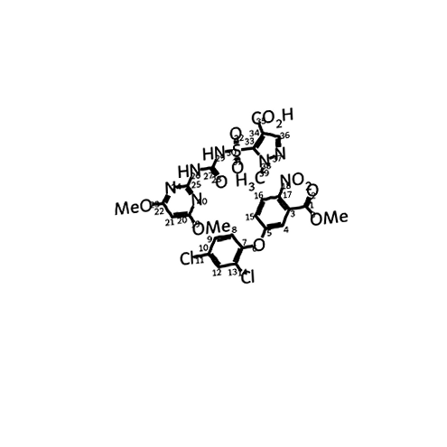 COC(=O)c1cc(Oc2ccc(Cl)cc2Cl)ccc1[N+](=O)[O-].COc1cc(OC)nc(NC(=O)NS(=O)(=O)c2c(C(=O)O)cnn2C)n1